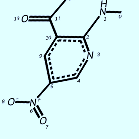 CNc1ncc([N+](=O)[O-])cc1C(C)=O